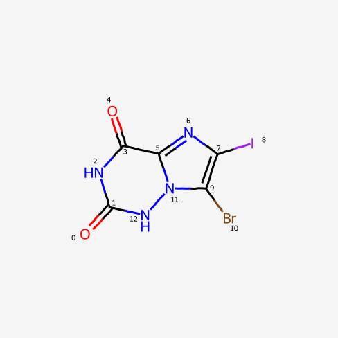 O=c1[nH]c(=O)c2nc(I)c(Br)n2[nH]1